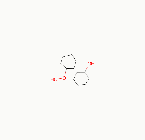 OC1CCCCC1.OOC1CCCCC1